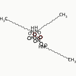 CCCCCCCCCCCCCCCCCC(=O)Nc1ccc(N(c2ccccc2)c2cccc(N(c3ccccc3)c3ccc(NC(=O)CCCCCCCCCCCCCCCCC)cc3)c2N(c2ccccc2)c2ccc(NC(=O)CCCCCCCCCCCCCCCCC)cc2)cc1